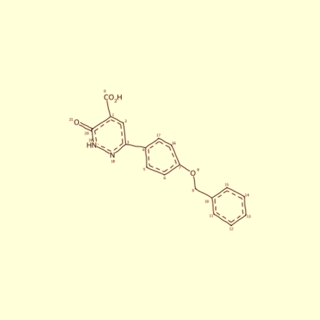 O=C(O)c1cc(-c2ccc(OCc3ccccc3)cc2)n[nH]c1=O